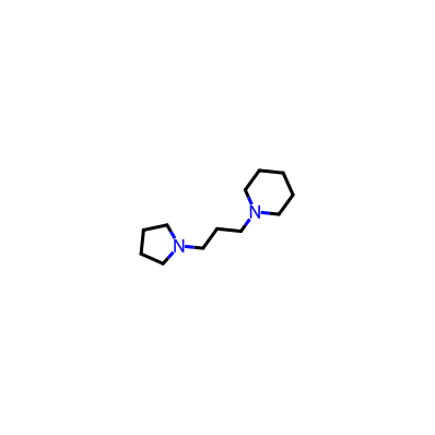 C1CCN(CCCN2CCCC2)CC1